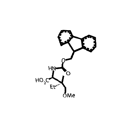 CC[C@](C)(COC)[C@H](NC(=O)OCC1c2ccccc2-c2ccccc21)C(=O)O